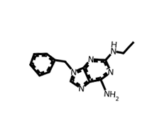 CCNc1nc(N)c2ncn(Cc3ccccc3)c2n1